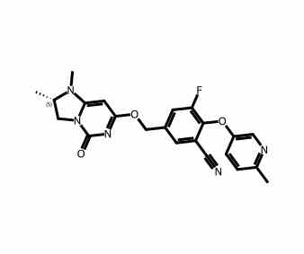 Cc1ccc(Oc2c(F)cc(COc3cc4n(c(=O)n3)C[C@H](C)N4C)cc2C#N)cn1